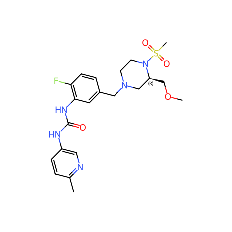 COC[C@H]1CN(Cc2ccc(F)c(NC(=O)Nc3ccc(C)nc3)c2)CCN1S(C)(=O)=O